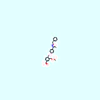 COC(=O)c1ccc(COc2ccc(-c3nc(Cc4cccc(Cl)c4)oc3C)cc2)c(COC(C)=O)c1